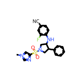 Cn1cnc(S(=O)(=O)N2CC(Nc3ccc(C#N)cc3F)C(c3ccccc3)C2)c1